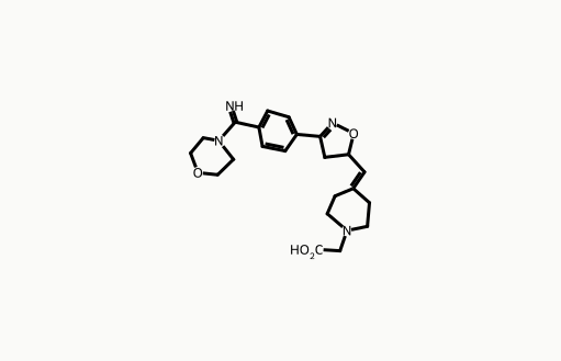 N=C(c1ccc(C2=NOC(C=C3CCN(CC(=O)O)CC3)C2)cc1)N1CCOCC1